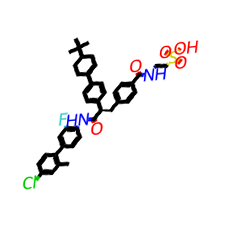 Cc1cc(Cl)ccc1-c1ccc(NC(=O)[C@H](Cc2ccc(C(=O)NCCS(=O)(=O)O)cc2)c2ccc(C3=CCC(C(C)(C)C)CC3)cc2)c(F)c1